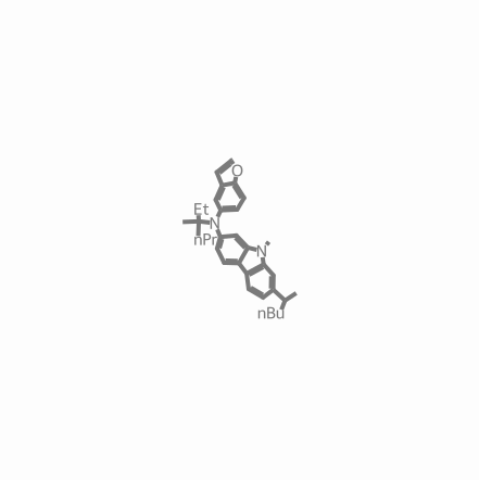 CCCCC(C)c1ccc2c3ccc(N(c4ccc5occc5c4)C(C)(CC)CCC)cc3n(C)c2c1